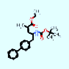 CCOC(=O)C(C)=CC(Cc1ccc(-c2ccccc2)cc1)NC(=O)OC(C)(C)C